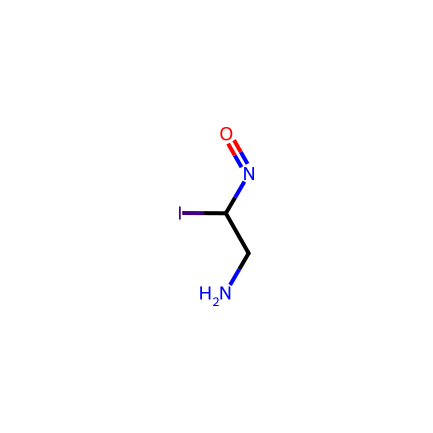 NCC(I)N=O